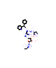 CCc1nnc([C@H]2O[C@@H](n3cnc4c(NCC(c5ccccc5)c5ccccc5)nc(NC5CCNC5)nc43)[C@H](O)[C@@H]2O)[nH]1